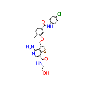 Cc1ccc(C(=O)Nc2ccc(Cl)cc2)cc1OCc1csc2c(C(=O)NCCO)cnc(N)c12